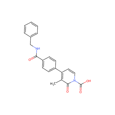 Cc1c(-c2ccc(C(=O)NCc3ccccc3)cc2)ccn(C(=O)O)c1=O